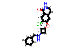 O=c1[nH]ccc2cc(OC3CC(NCc4ccccc4)C3)c(Cl)cc12